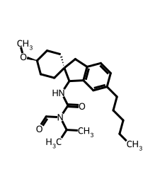 CCCCCc1ccc2c(c1)C(NC(=O)N(C=O)C(C)C)[C@]1(CC[C@H](OC)CC1)C2